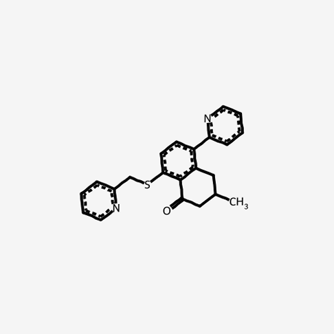 CC1CC(=O)c2c(SCc3ccccn3)ccc(-c3ccccn3)c2C1